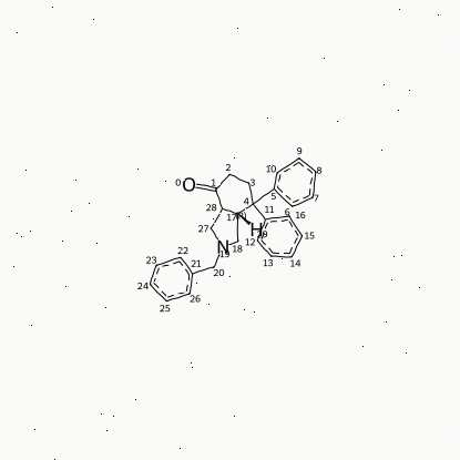 O=C1CCC(c2ccccc2)(c2ccccc2)[C@@H]2CN(Cc3ccccc3)CC12